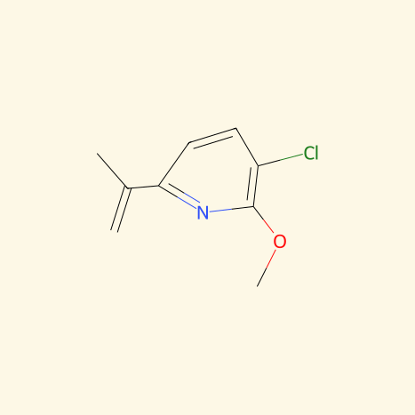 C=C(C)c1ccc(Cl)c(OC)n1